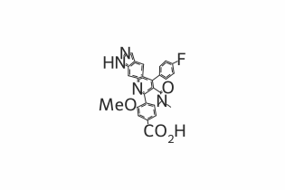 COc1cc(C(=O)O)ccc1-c1nc2cc3[nH]ncc3cc2c(-c2ccc(F)cc2)c1C(=O)N(C)C